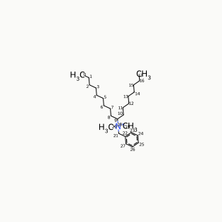 CCCCCCCCCC(CCCCCCCC)[N+](C)(C)Cc1ccccc1